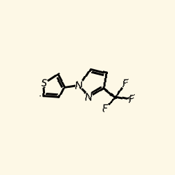 FC(F)(F)c1ccn(-c2c[c]sc2)n1